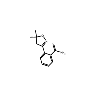 CC1(C)CC(c2ccccc2C(N)=S)=NO1